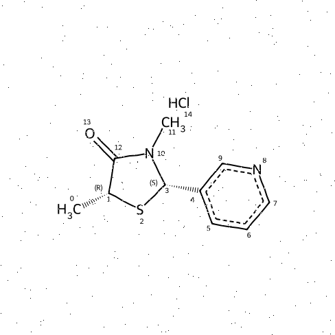 C[C@H]1S[C@@H](c2cccnc2)N(C)C1=O.Cl